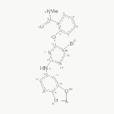 CNC(=O)c1ccccc1Oc1nc(Nc2ccc3c(c2)OCO3)ncc1Br